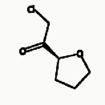 O=C(CCl)[C@@H]1CCCO1